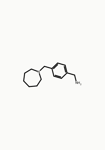 NCc1ccc(CN2CCCCCC2)cc1